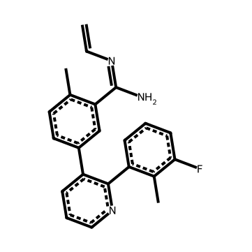 C=C/N=C(/N)c1cc(-c2cccnc2-c2cccc(F)c2C)ccc1C